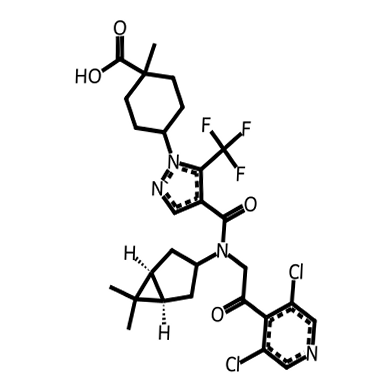 CC1(C(=O)O)CCC(n2ncc(C(=O)N(CC(=O)c3c(Cl)cncc3Cl)C3C[C@@H]4[C@H](C3)C4(C)C)c2C(F)(F)F)CC1